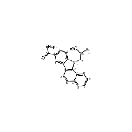 CCCCCCCC(=O)c1ccc2c(c1)c1ccc3ccccc3c1n2CC(CC)CCCC